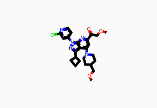 COCC(=O)c1cc(N2CCC(COC)CC2)c2c(C3CCC3)nn(-c3ccnc(Cl)c3)c2n1